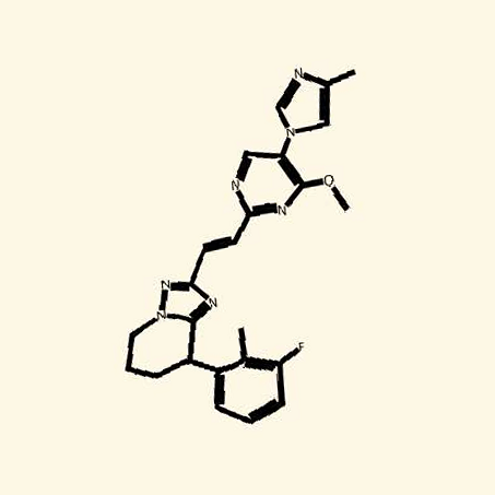 COc1nc(C=Cc2nc3n(n2)CCCC3c2cccc(F)c2C)ncc1-n1cnc(C)c1